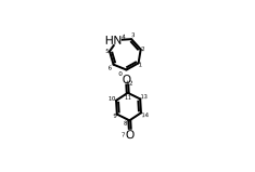 C1=CC=CNC=C1.O=C1C=CC(=O)C=C1